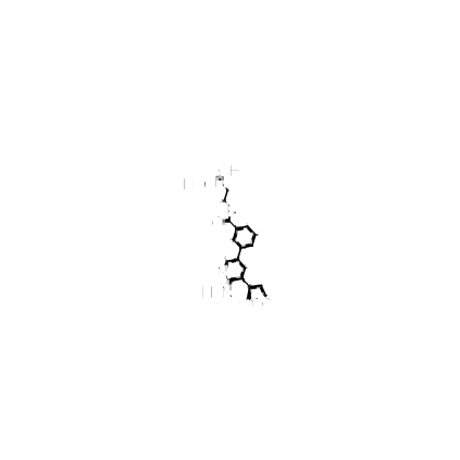 CN(C)CCNC(=O)c1cccc(-c2cnc(N)c(-c3ccoc3)c2)c1